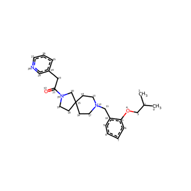 CC(C)COc1ccccc1CN1CCC2(CC1)CCN(C(=O)Cc1cccnc1)C2